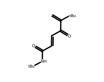 C=C(CCCC)C(=O)C=CC(=O)NC(C)(C)C